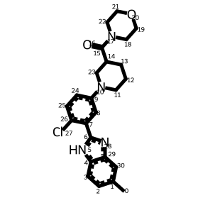 Cc1ccc2[nH]c(-c3cc(N4CCCC(C(=O)N5CCOCC5)C4)ccc3Cl)nc2c1